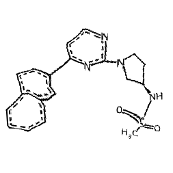 CS(=O)(=O)N[C@@H]1CCN(c2nccc(-c3ccc4ccccc4c3)n2)C1